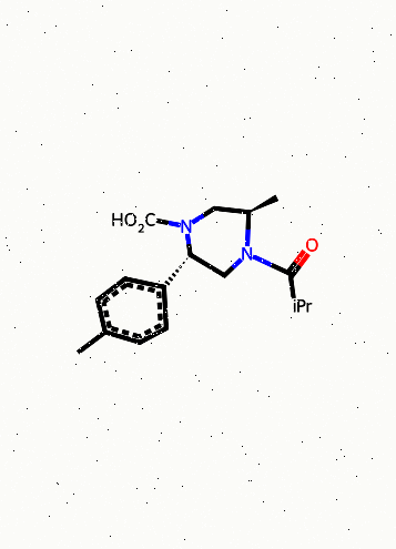 Cc1ccc([C@H]2CN(C(=O)C(C)C)[C@H](C)CN2C(=O)O)cc1